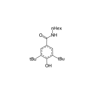 CCCCCCNC(=O)c1cc(C(C)(C)C)c(O)c(C(C)(C)C)c1